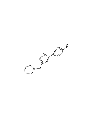 Fc1ccc(-c2cc(CC3CCOC3)cs2)cc1